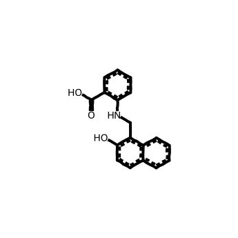 O=C(O)c1ccccc1NCc1c(O)ccc2ccccc12